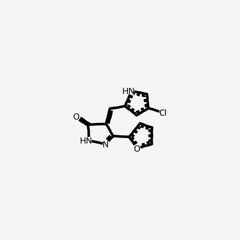 O=C1NN=C(c2ccco2)/C1=C\c1cc(Cl)c[nH]1